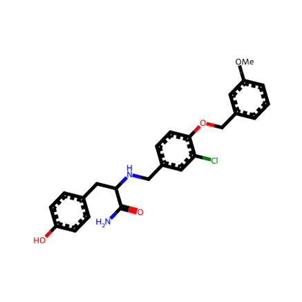 COc1cccc(COc2ccc(CNC(Cc3ccc(O)cc3)C(N)=O)cc2Cl)c1